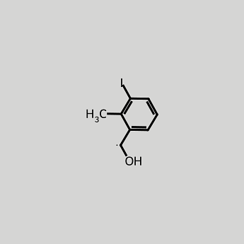 Cc1c(I)cccc1[CH]O